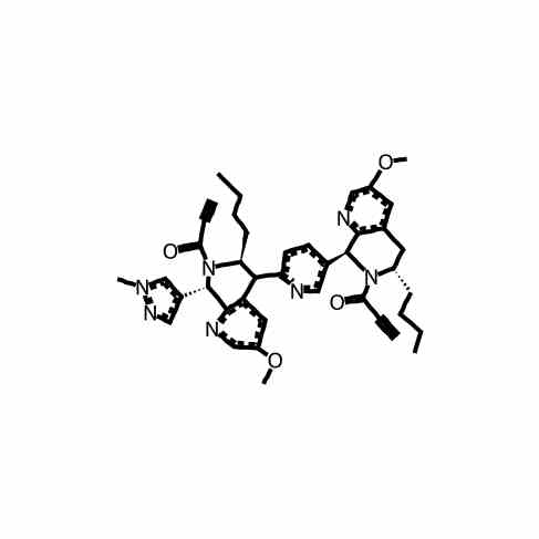 C#CC(=O)N1[C@@H](CCCC)Cc2cc(OC)cnc2[C@@H]1c1ccc(C2c3cc(OC)cnc3[C@H](c3cnn(C)c3)N(C(=O)C#C)[C@H]2CCCC)nc1